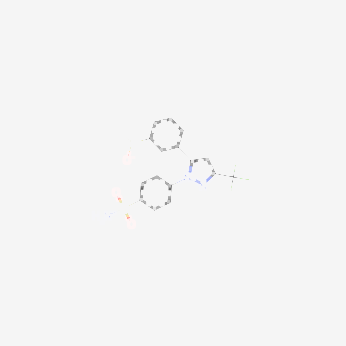 C[S+]([O-])c1cccc(-c2cc(C(F)(F)F)nn2-c2ccc(S(N)(=O)=O)cc2)c1